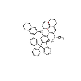 CC(C)c1cc2c(cc1-c1cc3c(cc1N(c1ccccc1)c1ccc4c(c1)CCCC4)C(c1ccccc1)(c1ccccc1)c1ccccc1-3)CCCC2